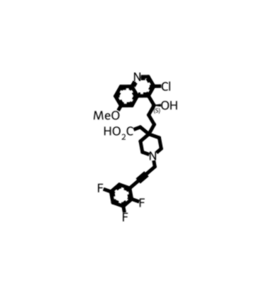 COc1ccc2ncc(Cl)c([C@@H](O)CCC3(CC(=O)O)CCN(CC#Cc4cc(F)cc(F)c4F)CC3)c2c1